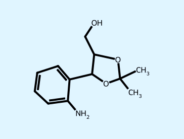 CC1(C)OC(CO)C(c2ccccc2N)O1